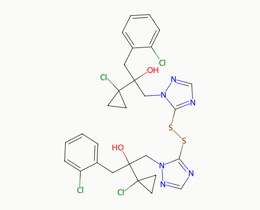 OC(Cc1ccccc1Cl)(Cn1ncnc1SSc1ncnn1CC(O)(Cc1ccccc1Cl)C1(Cl)CC1)C1(Cl)CC1